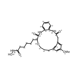 COc1cc2cc(c1)CC(=O)Nc1ccccc1NC(=O)C(CCCCCC(=O)NO)OCCC2